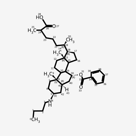 CCCCN[C@H]1CC[C@]2(C)C3CC[C@@]4(C)C(CC[C@@H]4[C@H](C)CCCC(C)C(=O)O)C3[C@H](OC(=O)c3ccccc3)C[C@H]2C1